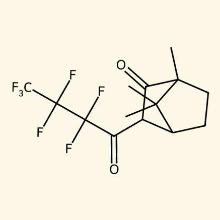 CC12CCC(C(C(=O)C(F)(F)C(F)(F)C(F)(F)F)C1=O)C2(C)C